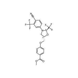 COC(=O)c1ccc(OC[C@@H]2CN(c3ccc(C#N)c(C(F)(F)F)c3)[C@@H](C(F)(F)F)O2)cc1